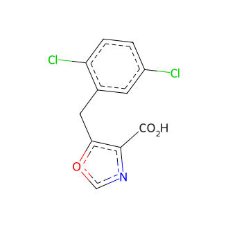 O=C(O)c1ncoc1Cc1cc(Cl)ccc1Cl